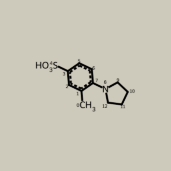 Cc1cc(S(=O)(=O)O)ccc1N1CCCC1